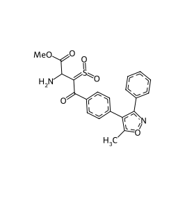 COC(=O)C(N)C(C(=O)c1ccc(-c2c(-c3ccccc3)noc2C)cc1)=S(=O)=O